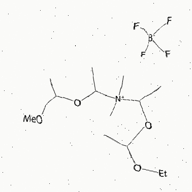 CCOC(C)OC(C)[N+](C)(C)C(C)OC(C)OC.F[B-](F)(F)F